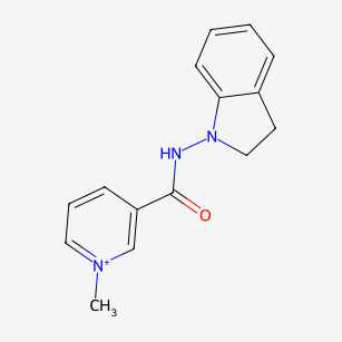 C[n+]1cccc(C(=O)NN2CCc3ccccc32)c1